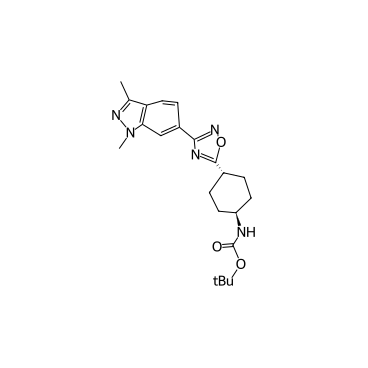 Cc1nn(C)c2cc(-c3noc([C@H]4CC[C@H](NC(=O)OC(C)(C)C)CC4)n3)ccc12